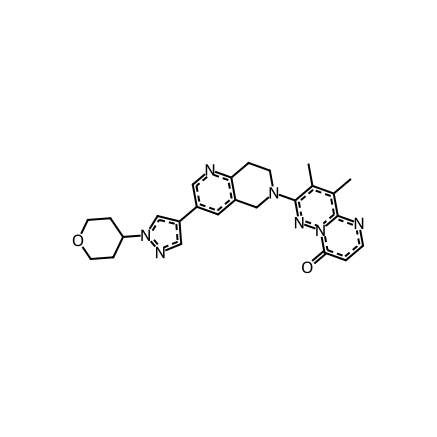 Cc1c(N2CCc3ncc(-c4cnn(C5CCOCC5)c4)cc3C2)nn2c(=O)ccnc2c1C